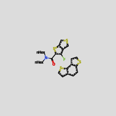 CCCCCCN(CCCCCC)C(=O)c1sc2cscc2c1F.c1cc2c(ccc3ccsc32)s1